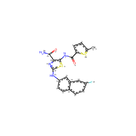 Cc1ccc(C(=O)Nc2sc(Nc3ccc4ccc(F)cc4c3)nc2C(N)=O)s1